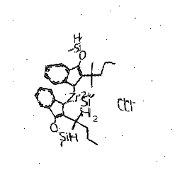 CCCC(C)(C)C1=C(O[SiH](C)C)c2ccccc2[CH]1[Zr+2]([SiH2]C)[CH]1C(C(C)(C)CCC)=C(O[SiH](C)C)c2ccccc21.[Cl-].[Cl-]